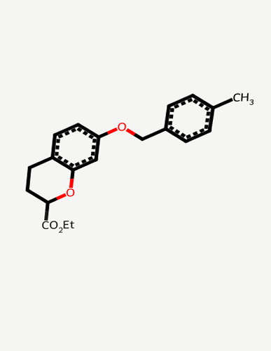 CCOC(=O)C1CCc2ccc(OCc3ccc(C)cc3)cc2O1